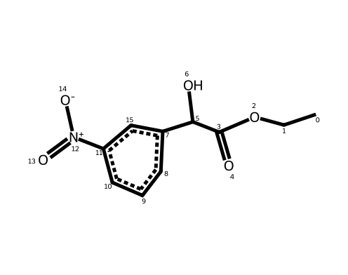 CCOC(=O)C(O)c1cccc([N+](=O)[O-])c1